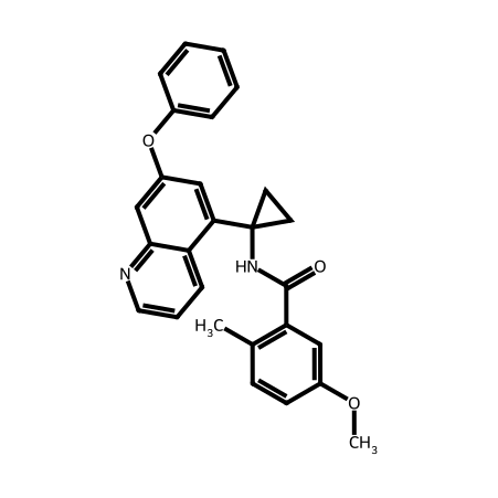 COc1ccc(C)c(C(=O)NC2(c3cc(Oc4ccccc4)cc4ncccc34)CC2)c1